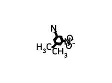 CC(C)c1cc(C#N)cc([N+](=O)[O-])c1